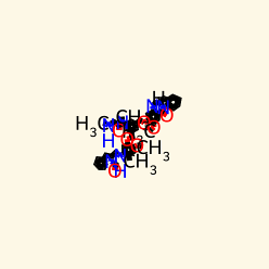 CNCC(=O)N(C)c1cc(COc2cc3c(cc2OC)C(=O)N2c4ccccc4C[C@H]2C=N3)cc(COc2cc(NCC3Cc4ccccc4N3C=O)c(C)cc2OC)c1